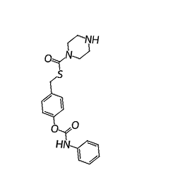 O=C(Nc1ccccc1)Oc1ccc(CSC(=O)N2CCNCC2)cc1